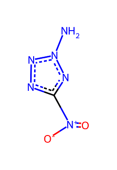 Nn1nnc([N+](=O)[O-])n1